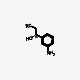 N#CC[C@@H](O)c1cccc(N)c1